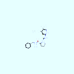 Cc1cnc2nc(N3CCC[C@@H]3C(=O)NCc3ccccc3)sc2c1C